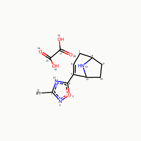 CC(C)c1noc(C2=CCC3CCC2N3)n1.O=C(O)C(=O)O